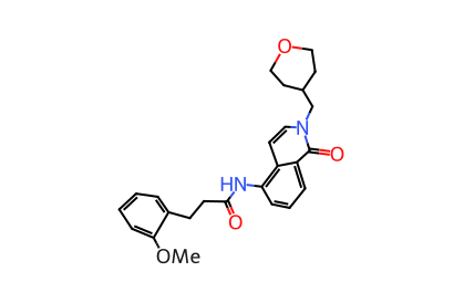 COc1ccccc1CCC(=O)Nc1cccc2c(=O)n(CC3CCOCC3)ccc12